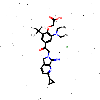 Br.CCN(CC)c1cc(C(=O)CN2Cc3ccc(C4CC4)nc3C2=N)cc(C(C)(C)C)c1OCC(=O)O